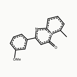 COc1cccc(-c2cc(=O)n3c(C)cccc3n2)c1